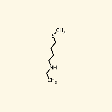 CCNCCCCSC